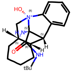 CC(C)(C)NC(=O)[C@]1(N)[C@@H]2c3ccccc3[N@+]1(O)C[C@H]1CCCC[C@H]12